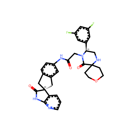 O=C(CN1C(=O)C2(CCOCC2)NC[C@@H]1c1cc(F)cc(F)c1)Nc1ccc2c(c1)C[C@@]1(C2)C(=O)Nc2ncccc21